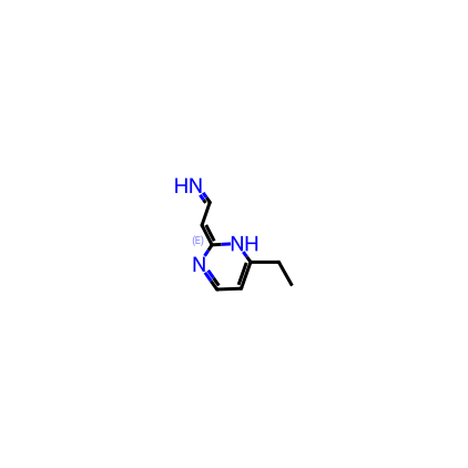 CCC1=CC=N/C(=C/C=N)N1